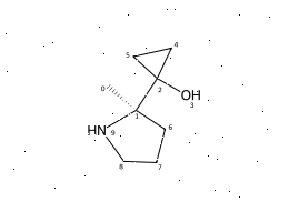 C[C@]1(C2(O)CC2)CCCN1